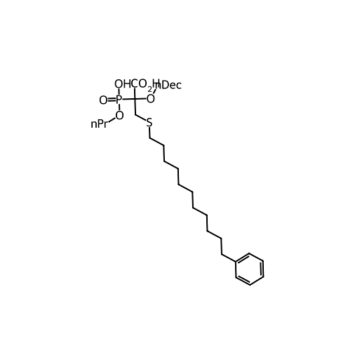 CCCCCCCCCCOC(CSCCCCCCCCCCCc1ccccc1)(C(=O)O)P(=O)(O)OCCC